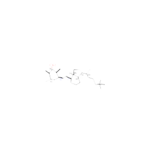 C=C1/C(=C\C=C2/CCC[C@]3(C)[C@@H]([C@@H](C)CCCC(C)(C)C)CC[C@@H]23)C[C@@H](C)C(=C)[C@@H]1O